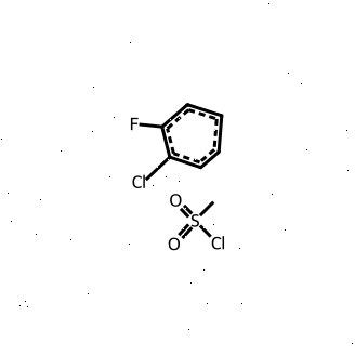 CS(=O)(=O)Cl.Fc1ccccc1Cl